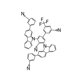 N#Cc1cccc(-c2ccc3c4ccccc4n(-c4cc(-c5cc(C#N)cc(C(F)(F)F)c5)cc(-n5c6ccccc6c6ccc(-c7cccc(C#N)c7)cc65)c4C#N)c3c2)c1